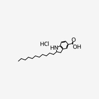 CCCCCCCCCCCC1Cc2cc(C(=O)O)ccc2N1.Cl